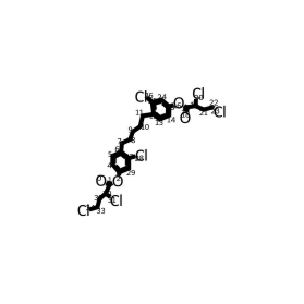 O=C(Oc1ccc(CCCCCc2ccc(OC(=O)C(Cl)CCCl)cc2Cl)c(Cl)c1)C(Cl)CCCl